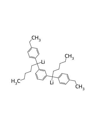 [Li][C](CCCCC)(c1ccc(CC)cc1)c1cccc([C]([Li])(CCCCC)c2ccc(CC)cc2)c1